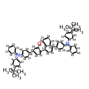 C[Si](C)(C)c1ccc(N(c2ccccc2)c2ccc(-c3ccc4c(c3)Oc3cccc5c(-c6ccc(N(c7ccccc7)c7ccc([Si](C)(C)C)cc7)cc6)ccc-4c35)cc2)cc1